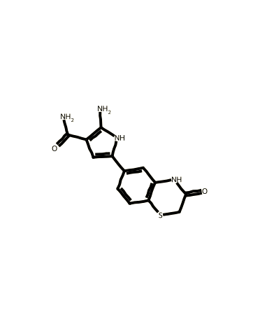 NC(=O)c1cc(-c2ccc3c(c2)NC(=O)CS3)[nH]c1N